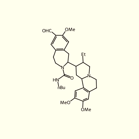 CCCCNC(=O)N1CCc2cc(C=O)c(OC)cc2CC1C1CC2c3cc(OC)c(OC)cc3CCN2CC1CC